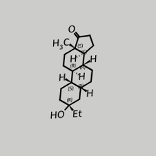 CC[C@@]1(O)CC[C@H]2[C@H](CC[C@@H]3[C@@H]2CC[C@]2(C)C(=O)CC[C@@H]32)C1